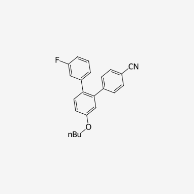 CCCCOc1ccc(-c2cccc(F)c2)c(-c2ccc(C#N)cc2)c1